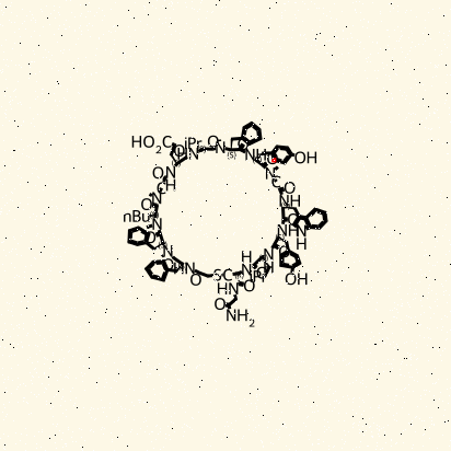 CCCC[C@H]1C(=O)N(C)CC(=O)N[C@@H](CCC(=O)O)C(=O)N[C@@H](C(C)C)C(=O)N(C)[C@@H](Cc2ccccc2)C(=O)N[C@@H](Cc2ccc(O)cc2)C(=O)N(C)CC(=O)N[C@@H](Cc2c[nH]c3ccccc23)C(=O)N[C@@H](Cc2ccc(O)cc2)C(=O)N[C@@H](CC(C)C)C(=O)N[C@H](C(=O)NCC(N)=O)CSCC(=O)N[C@@H](Cc2ccccc2)C(=O)N(C)[C@@H](Cc2ccccc2)C(=O)N1C